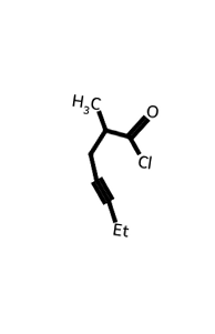 CCC#CCC(C)C(=O)Cl